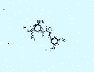 COc1cc(OC)cc(OCC(C)Nc2nc(N)nc(C(C)(C)F)n2)c1